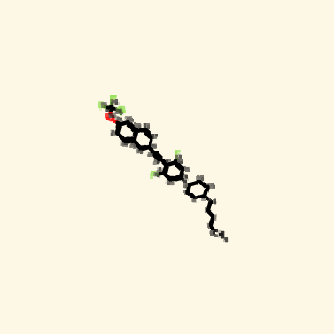 CCCCC[C@H]1CC[C@H](c2cc(F)c(C#Cc3ccc4cc(OC(F)(F)F)ccc4c3)c(F)c2)CC1